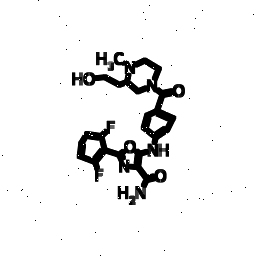 CN1CCN(C(=O)c2ccc(Nc3oc(-c4c(F)cccc4F)nc3C(N)=O)cc2)CC1CCO